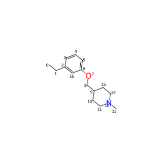 CCc1cccc(OCC2CCN(C)CC2)c1